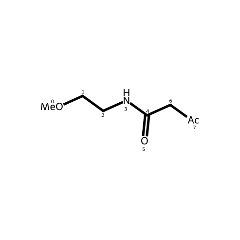 COCCNC(=O)CC(C)=O